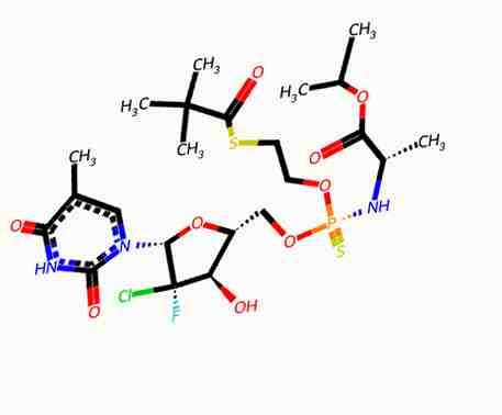 Cc1cn([C@@H]2O[C@H](CO[P@@](=S)(N[C@@H](C)C(=O)OC(C)C)OCCSC(=O)C(C)(C)C)[C@@H](O)[C@@]2(F)Cl)c(=O)[nH]c1=O